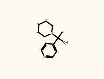 CC(O)(c1ccncc1)N1CCCCC1